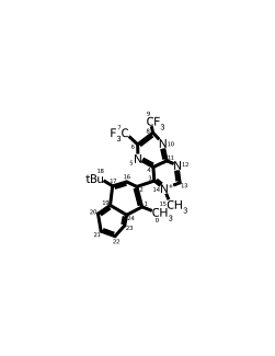 Cc1c(-c2c3nc(C(F)(F)F)c(C(F)(F)F)nc3nc[n+]2C)cc(C(C)(C)C)c2ccccc12